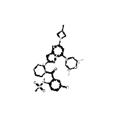 CC1CN(c2cc(N3C[C@@H](C)O[C@@H](C)C3)n3nc([C@@H]4CCCCN4C(=O)c4cc(Cl)ccc4NS(C)(=O)=O)cc3n2)C1